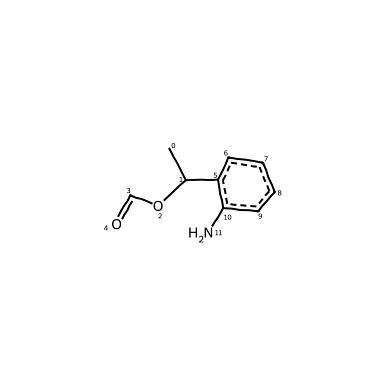 CC(OC=O)c1ccccc1N